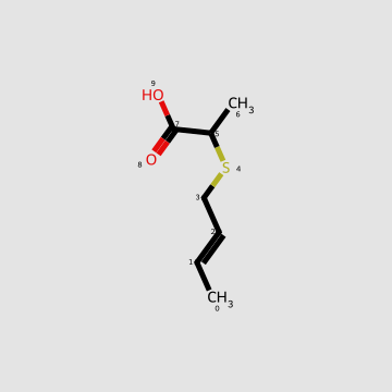 CC=CCSC(C)C(=O)O